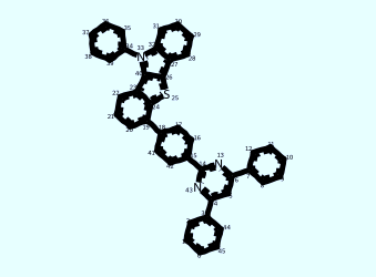 c1ccc(-c2cc(-c3ccccc3)nc(-c3ccc(-c4cccc5c4sc4c6ccccc6n(-c6ccccc6)c54)cc3)n2)cc1